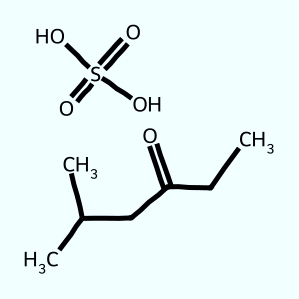 CCC(=O)CC(C)C.O=S(=O)(O)O